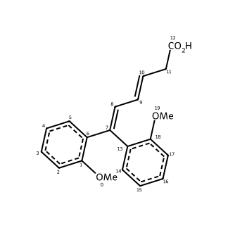 COc1ccccc1C(=C/C=C/CC(=O)O)c1ccccc1OC